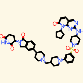 O=C1CCC(N2Cc3cc(C4CCN(CC5CCN(c6cccc(S(=O)(=O)N7CCC(Nc8ncc9ccc(=O)n(C%10CCCC%10)c9n8)CC7)c6)CC5)CC4)ccc3C2=O)C(=O)N1